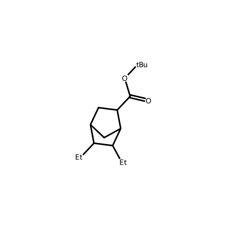 CCC1C2CC(C(=O)OC(C)(C)C)C(C2)C1CC